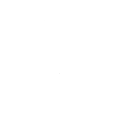 CC(C)(COc1ccccc1)O[C]=O